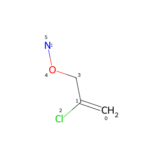 C=C(Cl)CO[N]